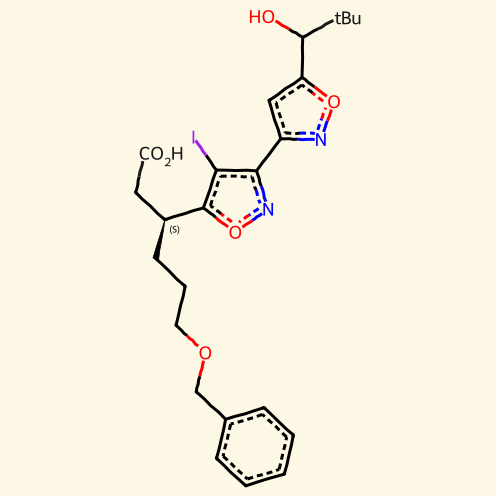 CC(C)(C)C(O)c1cc(-c2noc([C@@H](CCCOCc3ccccc3)CC(=O)O)c2I)no1